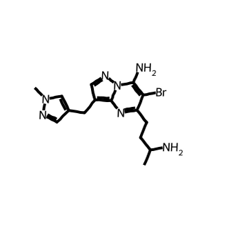 CC(N)CCc1nc2c(Cc3cnn(C)c3)cnn2c(N)c1Br